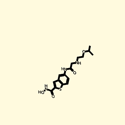 CC(C)OCCNCC(=O)Nc1ccc2sc(C(=O)NO)cc2c1